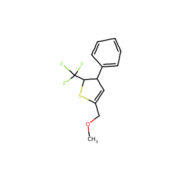 COCC1=CC(c2ccccc2)C(C(F)(F)F)S1